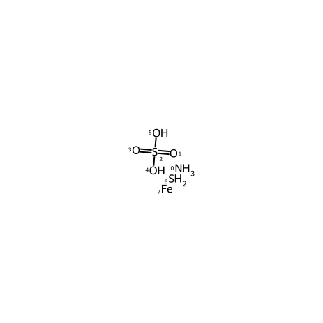 N.O=S(=O)(O)O.S.[Fe]